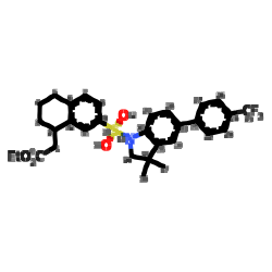 CCOC(=O)CC1CCCc2ccc(S(=O)(=O)N3CC(C)(C)c4cc(-c5ccc(C(F)(F)F)cc5)ccc43)cc21